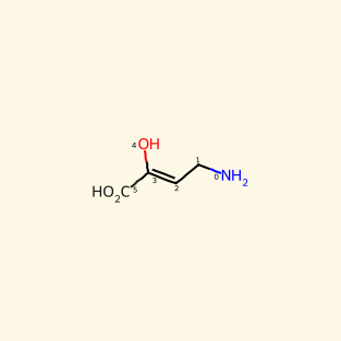 NC/C=C(\O)C(=O)O